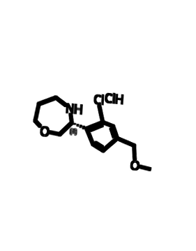 COCc1ccc([C@@H]2COCCCN2)c(Cl)c1.Cl